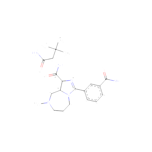 CN1CCCN2C(c3cccc(C(N)=O)c3)=NC(C(=O)N[C@H](C(N)=O)C(C)(C)C)C2C1